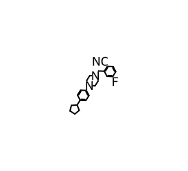 N#Cc1ccc(F)cc1CN1CCN(c2ccc(C3CCCC3)cc2)CC1